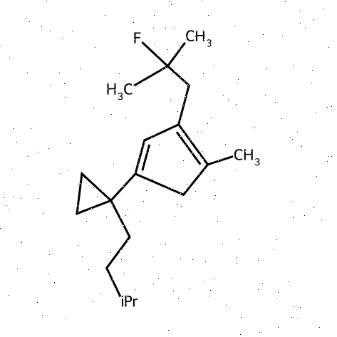 CC1=C(CC(C)(C)F)C=C(C2(CCC(C)C)CC2)C1